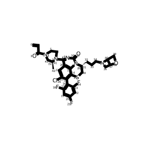 C=CC(=O)N1CCN(c2nc(=O)n3c4c(c(-c5c(F)cc(F)cc5F)c(Cl)cc24)SC[C@H]3CCCN2CC3OCC32)[C@@H](C)C1